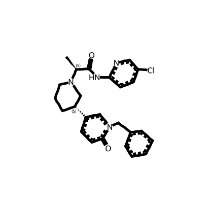 C[C@@H](C(=O)Nc1ccc(Cl)cn1)N1CCC[C@@H](c2ccc(=O)n(Cc3ccccc3)c2)C1